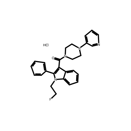 Cl.O=C(c1c(-c2ccccc2)n(CCF)c2ccccc12)N1CCN(c2cccnc2)CC1